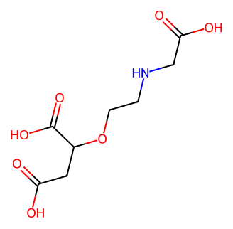 O=C(O)CNCCOC(CC(=O)O)C(=O)O